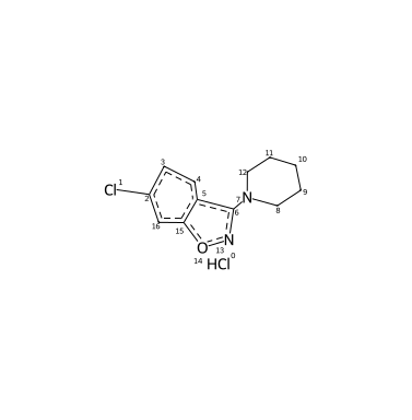 Cl.Clc1ccc2c(N3CCCCC3)noc2c1